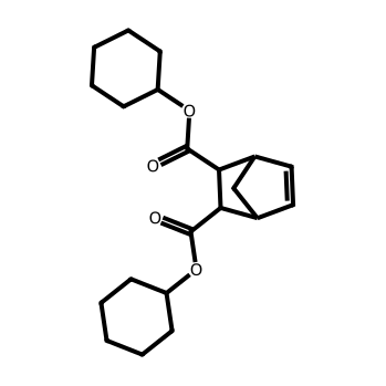 O=C(OC1CCCCC1)C1C2C=CC(C2)C1C(=O)OC1CCCCC1